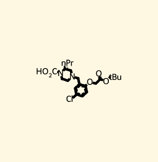 CCC[C@H]1CN(Cc2cc(Cl)ccc2OCC(=O)OC(C)(C)C)CCN1C(=O)O